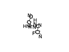 CN(C)Cc1cc(F)cc(-c2cncc3[nH]c(-c4n[nH]c5ccc(-c6cccnc6)cc45)nc23)c1